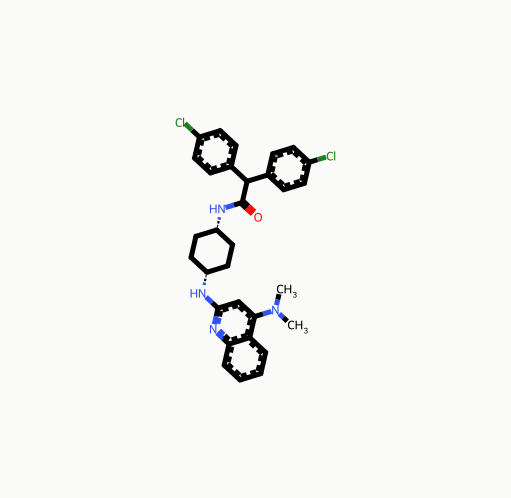 CN(C)c1cc(N[C@H]2CC[C@@H](NC(=O)C(c3ccc(Cl)cc3)c3ccc(Cl)cc3)CC2)nc2ccccc12